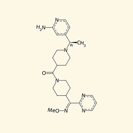 CON=C(c1ncccn1)C1CCN(C(=O)C2CCN([C@H](C)c3ccnc(N)c3)CC2)CC1